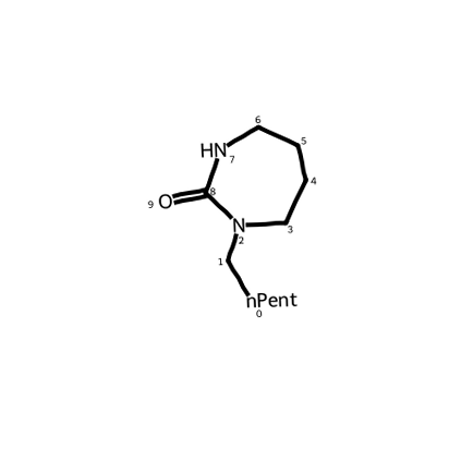 CCCCCCN1CCCCNC1=O